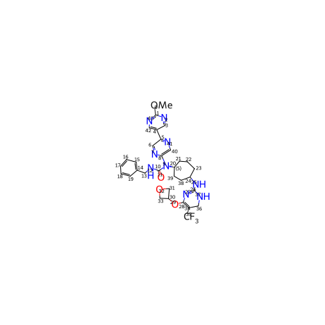 COc1ncc(-c2cnc(N(C(=O)NCc3ccccc3)[C@H]3CCCC(NC4=NC(OC5COC5)=C(C(F)(F)F)CN4)CC3)cn2)cn1